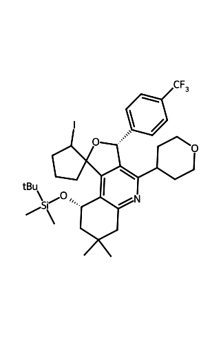 CC1(C)Cc2nc(C3CCOCC3)c3c(c2[C@@H](O[Si](C)(C)C(C)(C)C)C1)C1(CCCC1I)O[C@@H]3c1ccc(C(F)(F)F)cc1